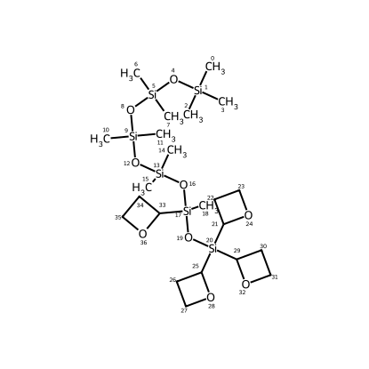 C[Si](C)(C)O[Si](C)(C)O[Si](C)(C)O[Si](C)(C)O[Si](C)(O[Si](C1CCO1)(C1CCO1)C1CCO1)C1CCO1